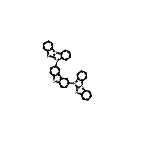 c1ccc2c(c1)nc1n(-c3ccc4oc5ccc(-n6c7ccccc7n7c8ccccc8nc67)cc5c4c3)c3ccccc3n21